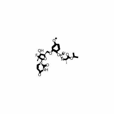 COc1ccc(O/[P+]([O-])=N/[C@@H](C)C(=O)OC(C)C)c(OC[C@H]2O[C@@H](n3ccc(=O)[nH]c3=O)[C@](C)(F)[C@@H]2O)c1